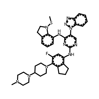 CSN1CCc2cccc(Nc3nc(Nc4cc(F)c(N5CCC(N6CCN(C)CC6)CC5)c5c4CCC5)ncc3-n3nnc4ccccc43)c21